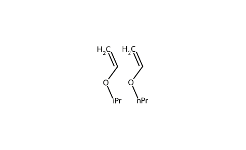 C=COC(C)C.C=COCCC